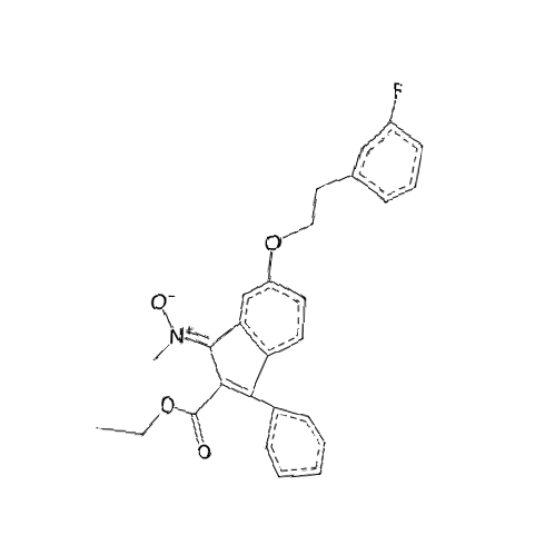 CCOC(=O)C1=C(c2ccccc2)c2ccc(OCCc3cccc(F)c3)cc2/C1=[N+](/C)[O-]